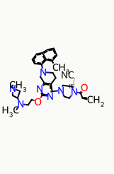 C=CC(=O)N1CCN(c2nc(OCCN(C)C3CN(C)C3)nc3c2CCN(c2cccc4cccc(C)c24)C3)C[C@@H]1CC#N